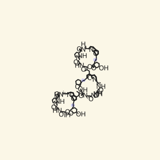 CC1NC(=O)C(C(C)Cc2cc3cc4nc(ccc24)[C@@H](C)NC(=O)[C@@H]2CCCN(N2)C(=O)[C@H](C)NC(=O)[C@H](C(C)Cc2cc4cc5nc(ccc25)[C@@H](C)NC(=O)[C@@H]2CCCN(N2)C(=O)[C@H](C)NC(=O)[C@H](C(C)C)OC(=O)[C@]2(/C=C/4)CC[C@H](O)CC2)OC(=O)C2(/C=C/3)CCCCC2)OC(=O)C2(/C=C/c3ccc4ccc(nc4c3)C(C)NC(=O)C3CCCN(N3)C1=O)CCC(O)CC2